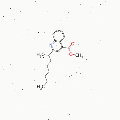 CCCCCCC(C)c1cc(C(=O)OC)c2ccccc2n1